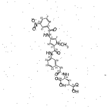 Cn1cc(NC(=O)c2cccc([N+](=O)[O-])c2)cc1C(=O)Nc1cccc(CC(=O)N[C@@H](CCC(=O)O)C(=O)O)c1